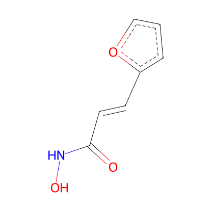 O=C(C=Cc1ccco1)NO